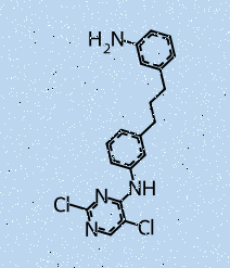 Nc1cccc(CCCc2cccc(Nc3nc(Cl)ncc3Cl)c2)c1